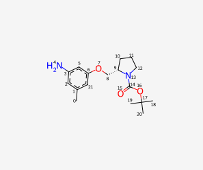 Cc1cc(N)cc(OC[C@@H]2CCCN2C(=O)OC(C)(C)C)c1